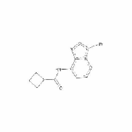 CC(C)c1cnc2c(NC(=O)C3CCC3)cccn12